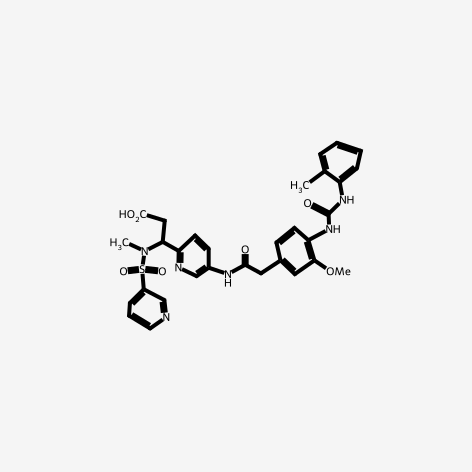 COc1cc(CC(=O)Nc2ccc(C(CC(=O)O)N(C)S(=O)(=O)c3cccnc3)nc2)ccc1NC(=O)Nc1ccccc1C